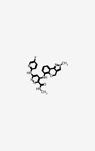 CNC(=O)c1nnc(Nc2ccc(F)cn2)cc1Nc1cccc2c1OCc1cn(C)nc1-2